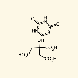 O=C(O)CC(O)(CC(=O)O)C(=O)O.O=c1cc[nH]c(=O)[nH]1